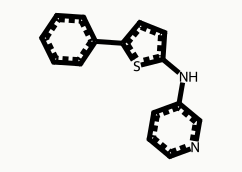 c1ccc(-c2ccc(Nc3cccnc3)s2)cc1